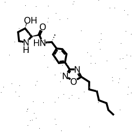 CCCCCCCc1nc(-c2ccc([C@@H](C)NC(=O)[C@H]3NCC[C@@H]3O)cc2)no1